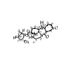 C[C@@H](CN1C(=O)c2cc(Cl)ccc2Nc2ccccc21)NCC(=O)N1[C@H](C#N)C[C@@H]2C[C@@H]21